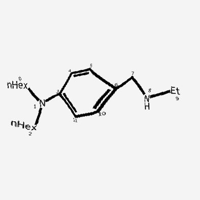 CCCCCCN(CCCCCC)c1ccc(CNCC)cc1